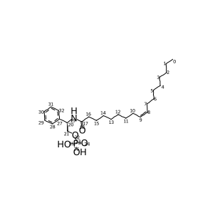 CCCCCCCC/C=C\CCCCCCCC(=O)N[C@@H](COP(=O)(O)O)c1ccccc1